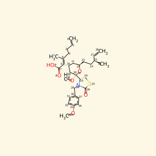 C=CCCC(C)=C(C(=O)O)[C@@H]1C[C@@H](CC[C@H](C)C=C)O[C@@](OC)([C@@H]2CSC(=O)N2Cc2ccc(OC)cc2)C1